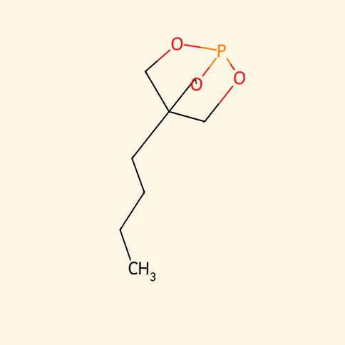 CCCCC12COP(OC1)OC2